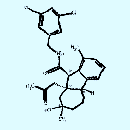 CC(=O)C[C@@]12C[C@@](C)(O)CC[C@H]1c1cccc(C)c1[C@@H]2C(=O)NCc1cc(Cl)cc(Cl)c1